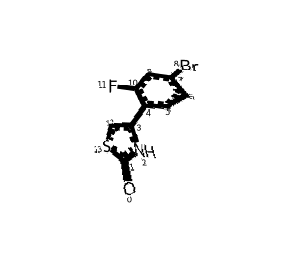 O=c1[nH]c(-c2ccc(Br)cc2F)cs1